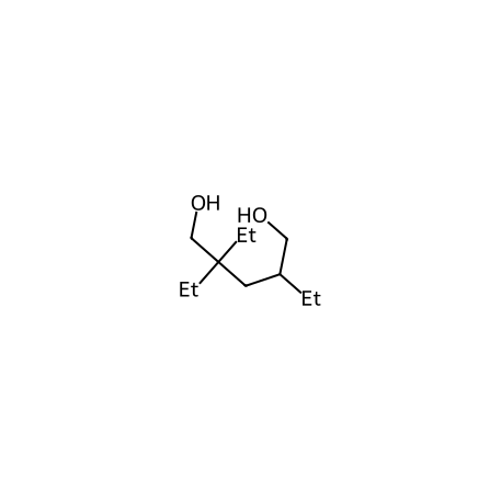 CCC(CO)CC(CC)(CC)CO